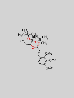 COc1ccc(C=CC(=O)OC(CC(C)C)[Si](C)(O[Si](C)(C)C)O[Si](C)(C)C)c(OC)c1OC